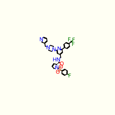 O=C(NCc1cc(-c2ccc(C(F)(F)F)cc2)nc(N2CCN(Cc3cccnc3)CC2)c1)[C@@H]1C=CCN1S(=O)(=O)c1ccc(F)cc1